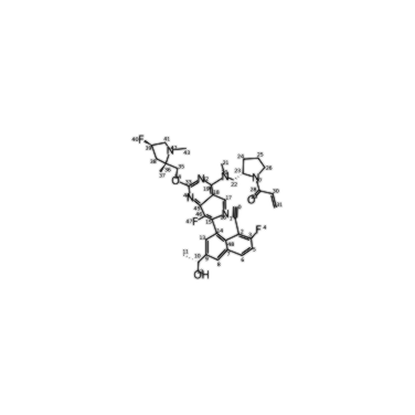 C#Cc1c(F)ccc2cc([C@@H](C)O)cc(-c3ncc4c(N(C)C[C@@H]5CCCN5C(=O)C=C)nc(OC[C@]5(C)C[C@@H](F)CN5C)nc4c3F)c12